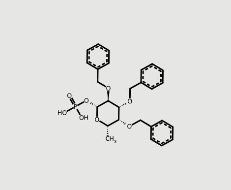 C[C@@H]1O[C@H](OP(=O)(O)O)[C@@H](OCc2ccccc2)[C@H](OCc2ccccc2)[C@@H]1OCc1ccccc1